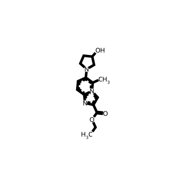 CCOC(=O)c1cn2c(C)c(N3CCC(O)C3)ccc2n1